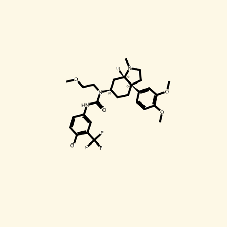 COCCN(C(=O)Nc1ccc(Cl)c(C(F)(F)F)c1)[C@@H]1CC[C@@]2(c3ccc(OC)c(OC)c3)CCN(C)[C@H]2C1